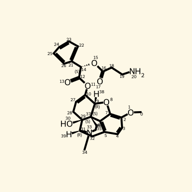 COc1ccc2c3c1O[C@H]1C(OC(=O)[C@@H](OC(=O)CCN)c4ccccc4)=CC[C@@]4(O)[C@@H](C2)N(C)CC[C@]314